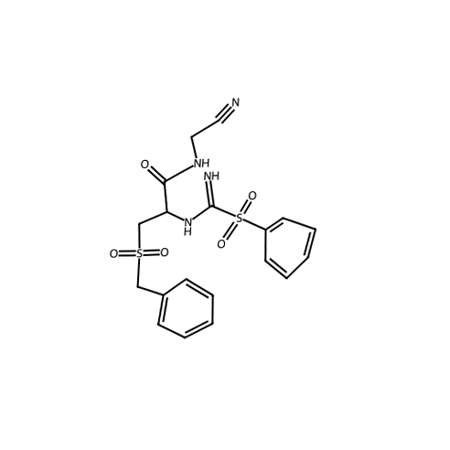 N#CCNC(=O)C(CS(=O)(=O)Cc1ccccc1)NC(=N)S(=O)(=O)c1ccccc1